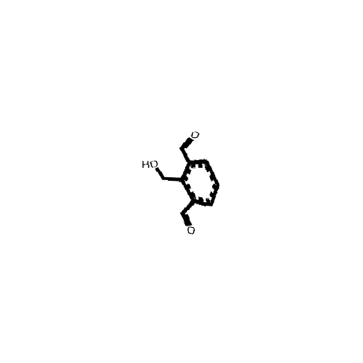 O=Cc1cccc(C=O)c1CO